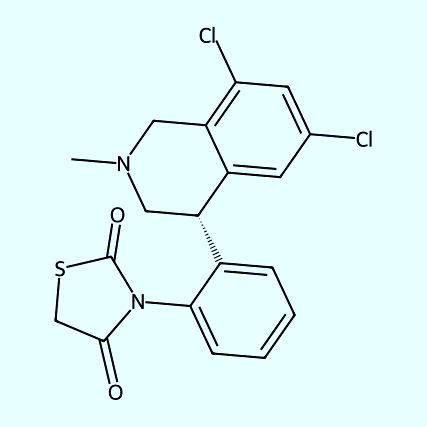 CN1Cc2c(Cl)cc(Cl)cc2[C@H](c2ccccc2N2C(=O)CSC2=O)C1